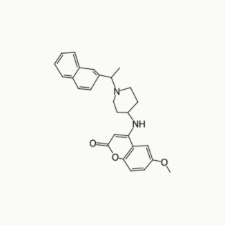 COc1ccc2oc(=O)cc(NC3CCN(C(C)c4ccc5ccccc5c4)CC3)c2c1